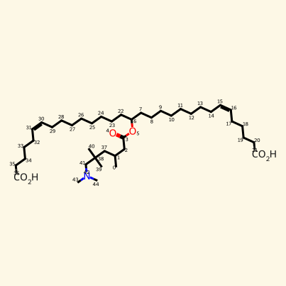 CC(CC(=O)OC(CCCCCCCC/C=C\CCCCC(=O)O)CCCCCCCC/C=C\CCCCC(=O)O)CC(C)(C)CN(C)C